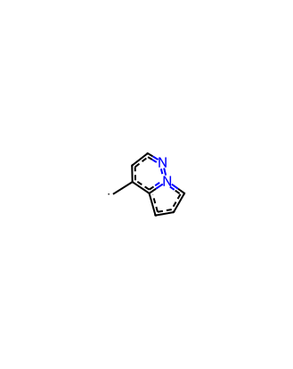 [CH2]c1ccnn2cccc12